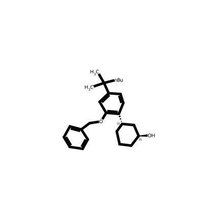 CCCCC(C)(C)c1ccc([C@H]2CCC[C@H](O)C2)c(OCc2ccccc2)c1